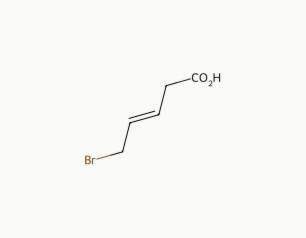 O=C(O)C/C=C/CBr